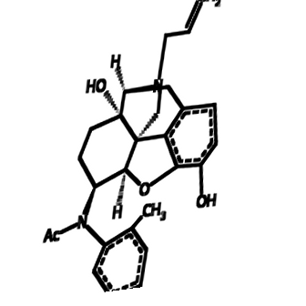 C=CCN1CC[C@]23c4c5ccc(O)c4O[C@H]2[C@@H](N(C(C)=O)c2ccccc2C)CC[C@@]3(O)[C@H]1C5